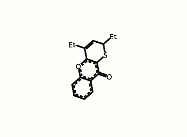 CCC1=CC(CC)Sc2c1oc1ccccc1c2=O